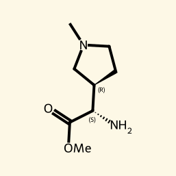 COC(=O)[C@@H](N)[C@@H]1CCN(C)C1